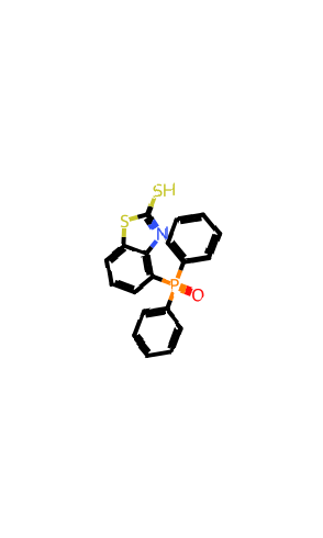 O=P(c1ccccc1)(c1ccccc1)c1cccc2sc(S)nc12